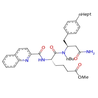 CCCCCCCc1ccc(C[C@@H](CC(N)=O)N(CCCC)C(=O)[C@H](CCCC(=O)OC)NC(=O)c2ccc3ccccc3n2)cc1